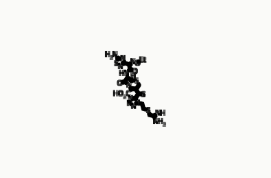 CCO/N=C(\C(=O)N[C@@H]1C(=O)N2C(C(=O)O)=C(C(=S)c3nnnn3CCSCC(=N)N)CS[C@@H]12)c1nsc(N)n1